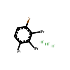 CC(C)c1ccc([S])c(C(C)C)c1C(C)C.F.F.F